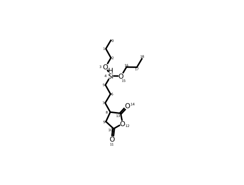 CCCO[SiH](CCCC1CC(=O)OC1=O)OCCC